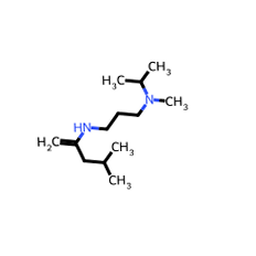 C=C(CC(C)C)NCCCN(C)C(C)C